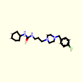 O=C(NCCCN1CCN(Cc2ccc(Cl)cc2)CC1)NC1CCCCC1